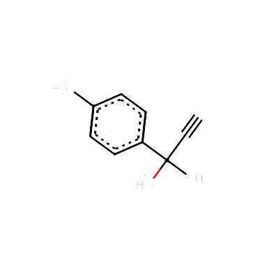 C#CC(C)(O)c1ccc(C)cc1